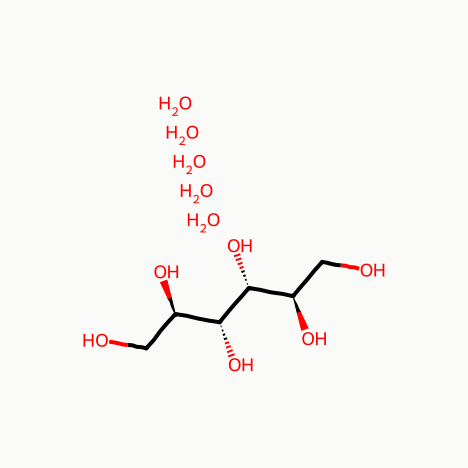 O.O.O.O.O.OC[C@@H](O)[C@@H](O)[C@H](O)[C@H](O)CO